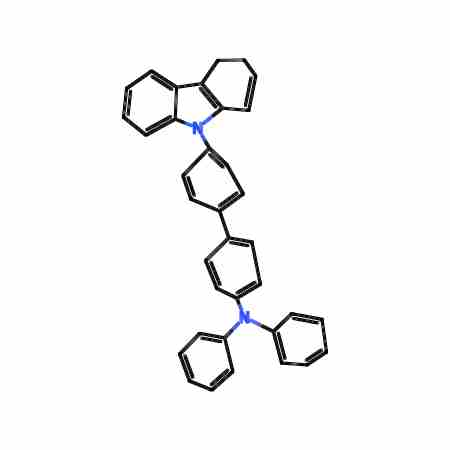 C1=Cc2c(c3ccccc3n2-c2ccc(-c3ccc(N(c4ccccc4)c4ccccc4)cc3)cc2)CC1